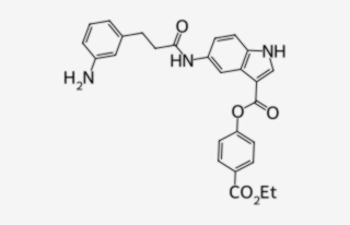 CCOC(=O)c1ccc(OC(=O)c2c[nH]c3ccc(NC(=O)CCc4cccc(N)c4)cc23)cc1